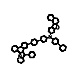 c1ccc(-c2ccc(N(c3ccc(-c4ccc(-c5ccc6c7ccccc7c7c(c(-c8ccccc8)c8ccccn87)c6c5)cc4)cc3)c3ccc4c(c3)oc3ccc5ccccc5c34)cc2)cc1